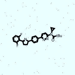 CC(C)(C)C(=O)N(c1ccc(-c2ccc(C3CCC(c4c(F)cccc4F)=N3)cc2)nn1)C1CC1